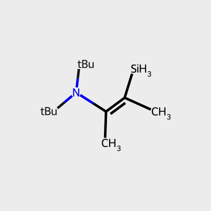 CC([SiH3])=C(C)N(C(C)(C)C)C(C)(C)C